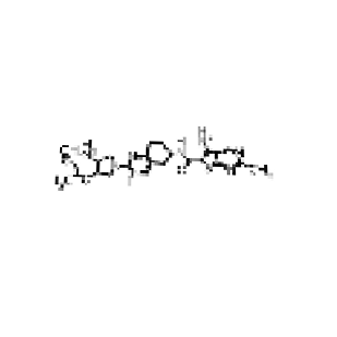 COCC(C)OC1CN(c2nc3c(cc2F)CC(NC(=O)c2sc4nc(C)ncc4c2N)CC3)CC1N